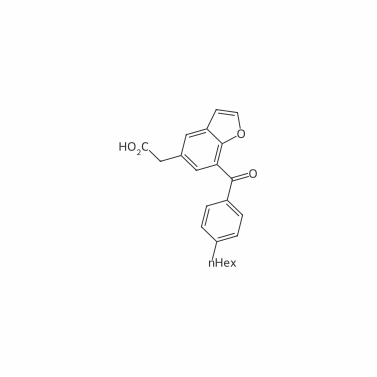 CCCCCCc1ccc(C(=O)c2cc(CC(=O)O)cc3ccoc23)cc1